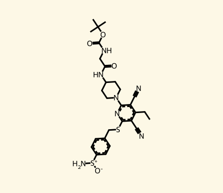 CCc1c(C#N)c(SCc2ccc([S+](N)[O-])cc2)nc(N2CCC(NC(=O)CNC(=O)OC(C)(C)C)CC2)c1C#N